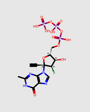 C#C[C@@]1(n2cnc3c(=O)[nH]c(C)nc32)O[C@H](COP(=O)(O)OP(=O)(O)OP(=O)(O)O)[C@@H](O)[C@H]1F